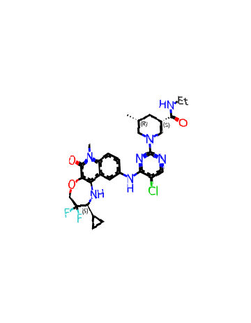 CCNC(=O)[C@H]1C[C@@H](C)CN(c2ncc(Cl)c(Nc3ccc4c(c3)c3c(c(=O)n4C)OCC(F)(F)[C@H](C4CC4)N3)n2)C1